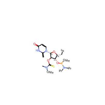 [2H]C[C@H]1O[C@@H](N2C=CC(=O)NC2=C)C(OC(=S)N(C)OC)[C@H]1OP(OC)N(C(C)C)C(C)C